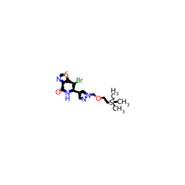 C[Si](C)(C)CCOCn1cc(-c2[nH]c(=O)c3ncsc3c2Br)cn1